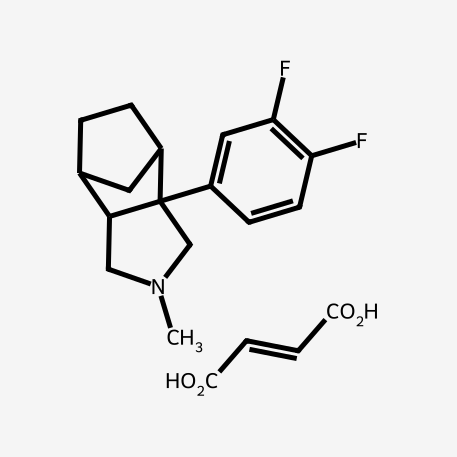 CN1CC2C3CCC(C3)C2(c2ccc(F)c(F)c2)C1.O=C(O)C=CC(=O)O